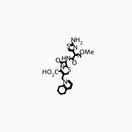 CO/N=C(/C(=O)N[C@@H]1C(=O)N2C(C(=O)O)=C(C[n+]3cccc4c3CCCC4)CSC12)c1csc(N)n1